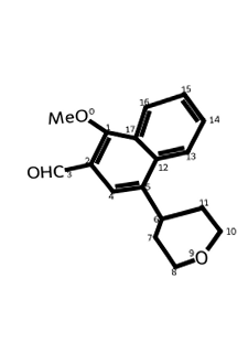 COc1c(C=O)cc(C2CCOCC2)c2ccccc12